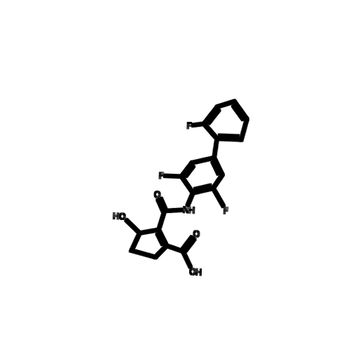 O=C(O)C1=C(C(=O)Nc2c(F)cc(-c3ccccc3F)cc2F)C(O)CC1